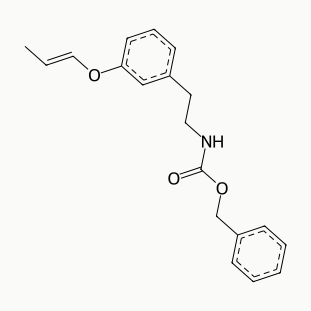 CC=COc1cccc(CCNC(=O)OCc2ccccc2)c1